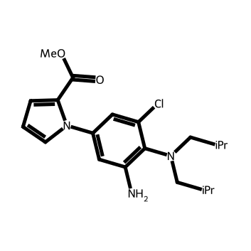 COC(=O)c1cccn1-c1cc(N)c(N(CC(C)C)CC(C)C)c(Cl)c1